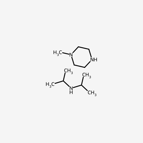 CC(C)NC(C)C.CN1CCNCC1